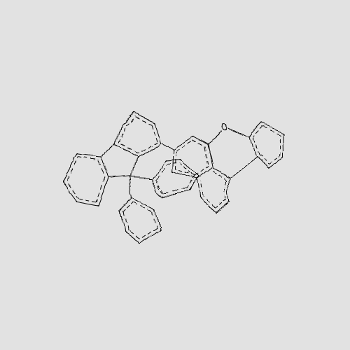 c1ccc(C2(c3ccccc3)c3ccccc3-c3cccc(-c4cc5c6c(cccc6c4)-c4ccccc4O5)c32)cc1